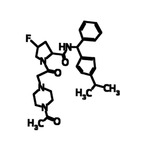 CC(=O)N1CCN(CC(=O)N2CC(F)CC2C(=O)NC(c2ccccc2)c2ccc(C(C)C)cc2)CC1